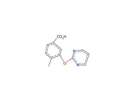 Cc1ccc(C(=O)O)cc1Oc1ncccn1